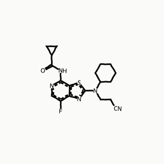 N#CCCN(c1nc2c(F)cnc(NC(=O)C3CC3)c2s1)C1CCCCC1